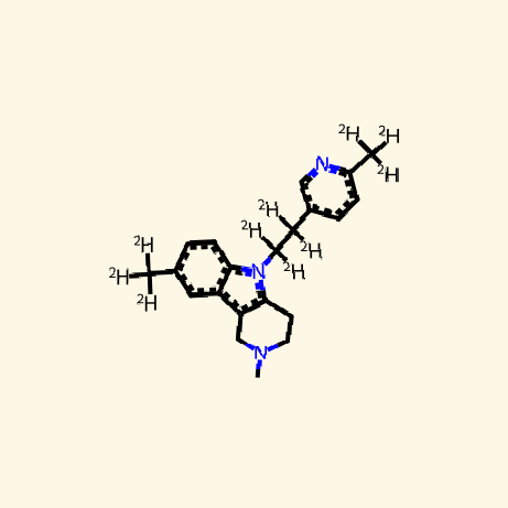 [2H]C([2H])([2H])c1ccc2c(c1)c1c(n2C([2H])([2H])C([2H])([2H])c2ccc(C([2H])([2H])[2H])nc2)CCN(C)C1